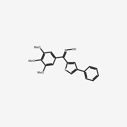 COc1cc(C(=NO)c2cc(-c3ccccc3)cs2)cc(OC)c1OC